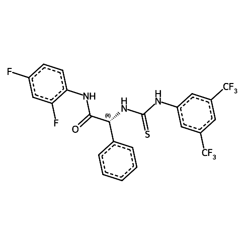 O=C(Nc1ccc(F)cc1F)[C@H](NC(=S)Nc1cc(C(F)(F)F)cc(C(F)(F)F)c1)c1ccccc1